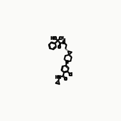 CN(CC[C@@H]1CC12CCN(c1ccc(C(=O)NC3CC3)c(Cl)c1)CC2)C(=O)C(O)(c1ccccc1)C(F)(F)F